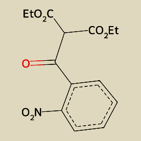 CCOC(=O)C(C(=O)OCC)C(=O)c1ccccc1[N+](=O)[O-]